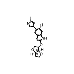 Clc1cc2[nH]c(OC3CO[C@@H]4CCO[C@H]34)nc2nc1-c1cn[nH]c1